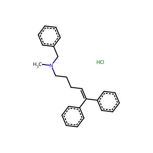 CN(CCCC=C(c1ccccc1)c1ccccc1)Cc1ccccc1.Cl